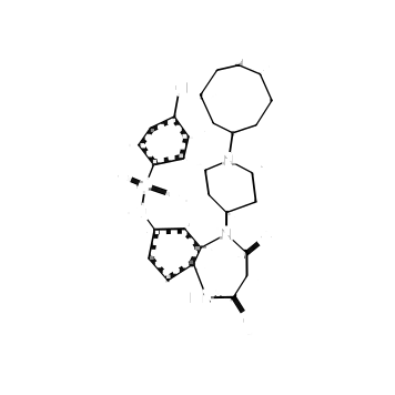 Cc1ccc(S(=O)(=O)Oc2ccc3c(c2)N(C2CCN(C4CCCCCCC4)CC2)C(=O)CC(=O)N3)cc1